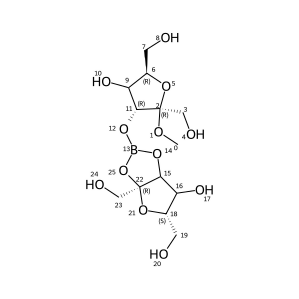 CO[C@]1(CO)O[C@H](CO)C(O)[C@H]1OB1OC2C(O)[C@H](CO)O[C@@]2(CO)O1